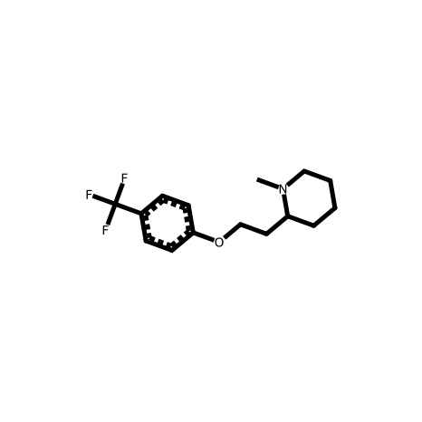 CN1CCCCC1CCOc1ccc(C(F)(F)F)cc1